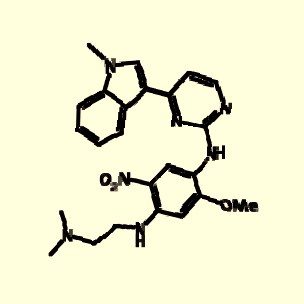 COc1cc(NCCN(C)C)c([N+](=O)[O-])cc1Nc1nccc(-c2cn(C)c3ccccc23)n1